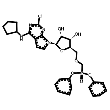 O=P(COC[C@H]1O[C@@H](n2ccc3c(NC4CCCC4)nc(Cl)nc32)[C@H](O)[C@@H]1O)(Oc1ccccc1)Oc1ccccc1